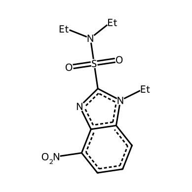 CCN(CC)S(=O)(=O)c1nc2c([N+](=O)[O-])cccc2n1CC